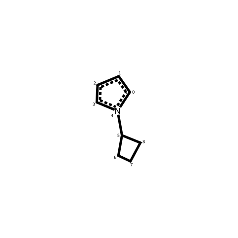 [c]1cccn1C1CCC1